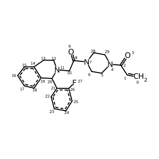 C=CC(=O)N1CCN(C(=O)CN2CCc3ccccc3C2c2ccccc2F)CC1